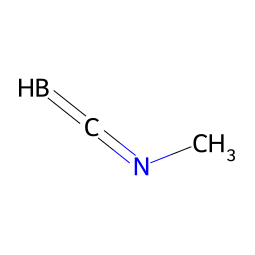 B=C=NC